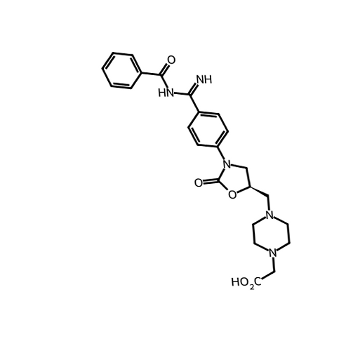 N=C(NC(=O)c1ccccc1)c1ccc(N2C[C@@H](CN3CCN(CC(=O)O)CC3)OC2=O)cc1